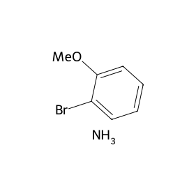 COc1ccccc1Br.N